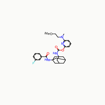 COCCN(C)c1cccc(OC(=O)NC23CC4CC(C2)CC(NC(=O)c2cccc(F)c2)(C4)C3)n1